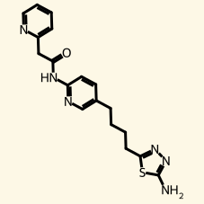 Nc1nnc(CCCCc2ccc(NC(=O)Cc3ccccn3)nc2)s1